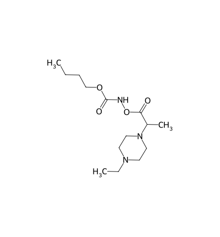 CCCCOC(=O)NOC(=O)C(C)N1CCN(CC)CC1